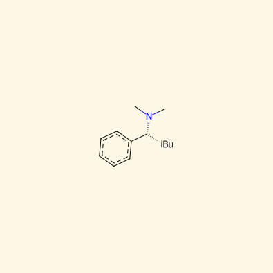 CC[C@@H](C)[C@H](c1ccccc1)N(C)C